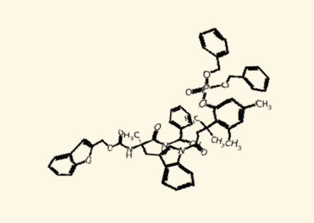 Cc1cc(C)c(C(C)(C)CC(=O)n2cc(C[C@@](C)(NC(=O)OCc3cc4ccccc4o3)C(=O)NC(C)c3ccccc3)c3ccccc32)c(OP(=O)(OCc2ccccc2)OCc2ccccc2)c1